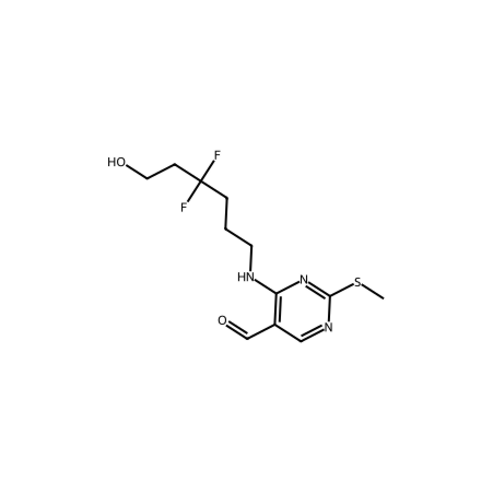 CSc1ncc(C=O)c(NCCCC(F)(F)CCO)n1